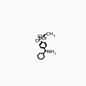 CCOP(C)(=O)c1ccc([C@H](N)C2CCCCC2)cc1